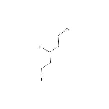 [O]CCC(F)CCF